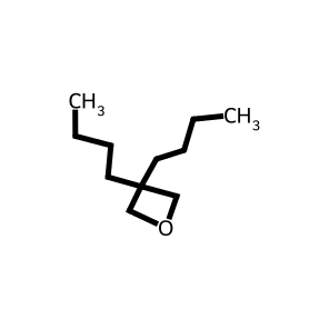 CCCCC1(CCCC)COC1